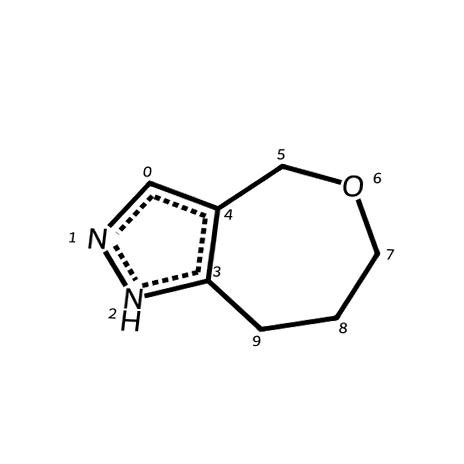 c1n[nH]c2c1COCCC2